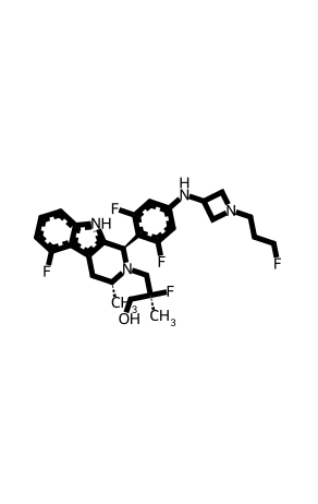 C[C@@H]1Cc2c([nH]c3cccc(F)c23)[C@@H](c2c(F)cc(NC3CN(CCCF)C3)cc2F)N1C[C@@](C)(F)CO